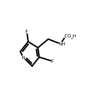 O=C(O)NCc1c(F)cncc1F